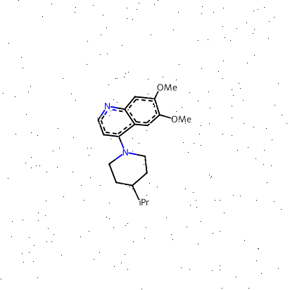 COc1cc2nccc(N3CCC(C(C)C)CC3)c2cc1OC